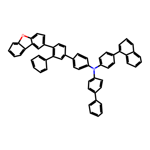 c1ccc(-c2ccc(N(c3ccc(-c4ccc(-c5ccc6oc7ccccc7c6c5)c(-c5ccccc5)c4)cc3)c3ccc(-c4cccc5ccccc45)cc3)cc2)cc1